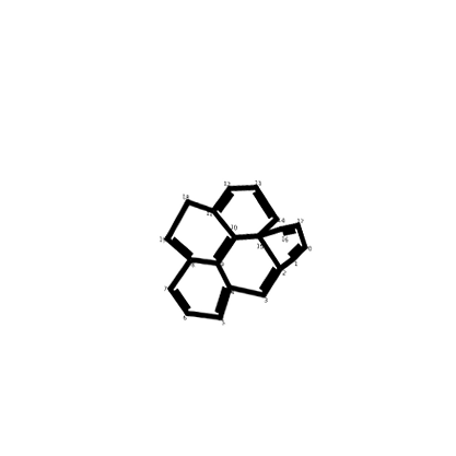 C1=CC2=Cc3cccc4c3=C3C(=CC=CC23C=C1)CC=4